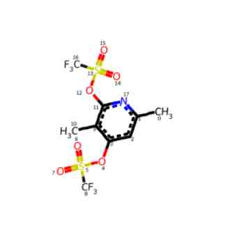 Cc1cc(OS(=O)(=O)C(F)(F)F)c(C)c(OS(=O)(=O)C(F)(F)F)n1